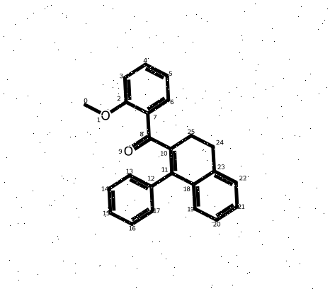 COc1ccccc1C(=O)C1=C(c2ccccc2)c2ccccc2CC1